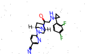 N#Cc1ccc(N2C[C@@H]3CC[C@H]2CN3C(=O)CNC2(c3ccc(F)cc3F)CC2)nc1